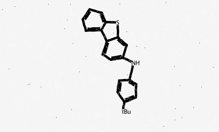 CC(C)(C)c1ccc(Nc2ccc3c(c2)sc2ccccc23)cc1